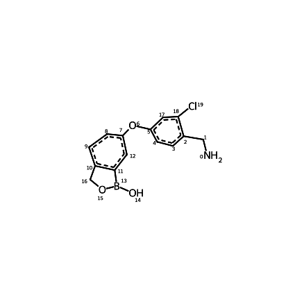 NCc1ccc(Oc2ccc3c(c2)B(O)OC3)cc1Cl